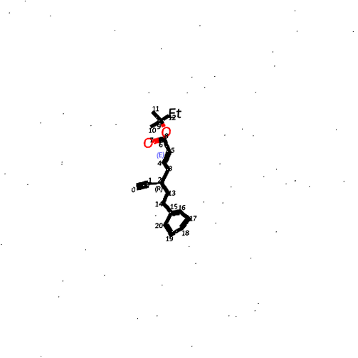 C#C[C@@H](C/C=C/C(=O)OC(C)(C)CC)CCc1ccccc1